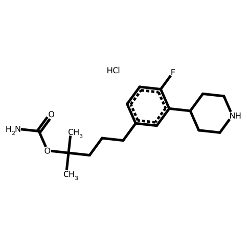 CC(C)(CCCc1ccc(F)c(C2CCNCC2)c1)OC(N)=O.Cl